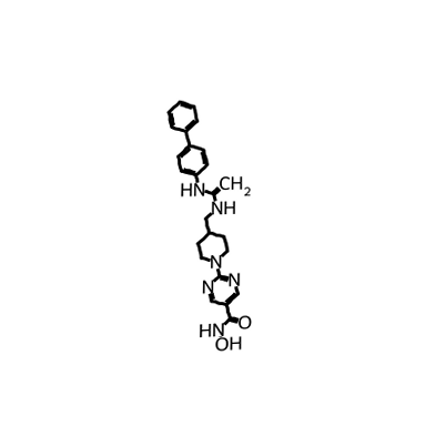 C=C(NCC1CCN(c2ncc(C(=O)NO)cn2)CC1)Nc1ccc(-c2ccccc2)cc1